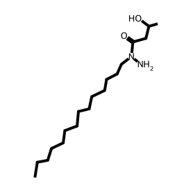 CCCCCCCCCCCCCCN(N)C(=O)CC(C)O